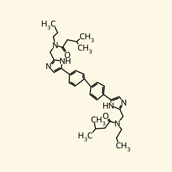 CCCN(Cc1ncc(-c2ccc(-c3ccc(-c4cnc(CN(CCC)C(=O)CC(C)C)[nH]4)cc3)cc2)[nH]1)C(=O)CC(C)C